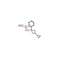 O=CNc1ccccc1C1(O)CC(C2CC2)C1